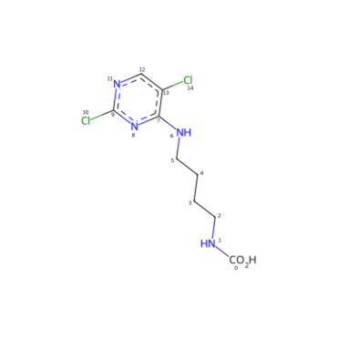 O=C(O)NCCCCNc1nc(Cl)ncc1Cl